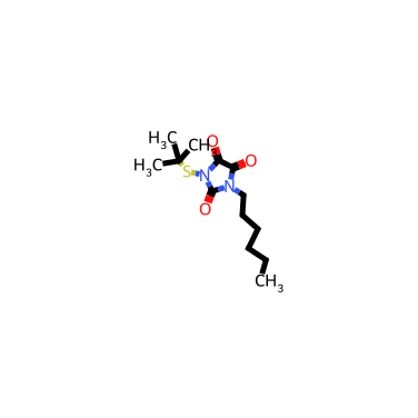 CCCCCCN1C(=O)C(=O)N(SC(C)(C)C)C1=O